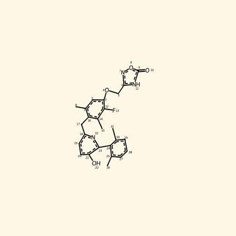 Cc1cc(OCc2noc(=O)[nH]2)c(F)c(C)c1Cc1ccc(O)c(-c2c(C)cccc2C)n1